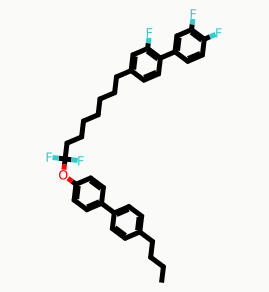 CCCCc1ccc(-c2ccc(OC(F)(F)CCCCCCCc3ccc(-c4ccc(F)c(F)c4)c(F)c3)cc2)cc1